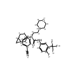 N#Cc1cccc([C@]23CC[C@@H](N(CCN4CCOCC4)C(=O)Nc4ccc(F)c(C(F)(F)F)c4)CC2C3)c1